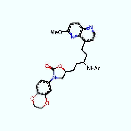 COc1ccc2nccc(CC[C@@H](CCC3CN(c4ccc5c(c4)OCCO5)C(=O)O3)NC(C)=O)c2n1